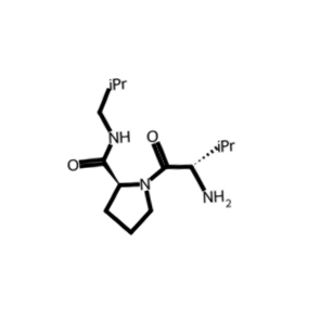 CC(C)CNC(=O)[C@@H]1CCCN1C(=O)[C@@H](N)C(C)C